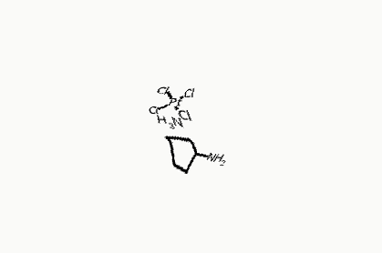 N.NC1CCCC1.[Cl][Pt]([Cl])([Cl])[Cl]